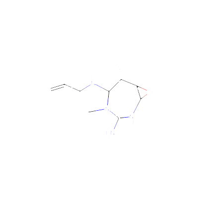 C=CCNC1[C@H](C)C2OC2NC(N)N1C